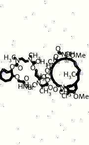 COc1cc2cc(c1Cl)N(C)C(=O)C[C@H](OC(=O)[C@H](C)N(C)C(=O)CCOC(=O)N(C)CCN(C)C(=O)OC1/C=C/CCCCC1OCC(=O)NBr)[C@]1(C)O[C@H]1[C@H](C)[C@@H]1C[C@@](O)(NC(=O)O1)[C@H](OC)/C=C/C=C(\C)C2